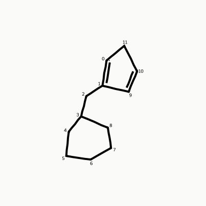 [C]1=C(CC2CCCCC2)C=CC1